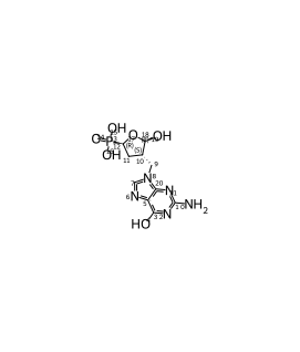 Nc1nc(O)c2ncn(C[C@@H]3C[C@@H](P(=O)(O)O)O[C@H]3O)c2n1